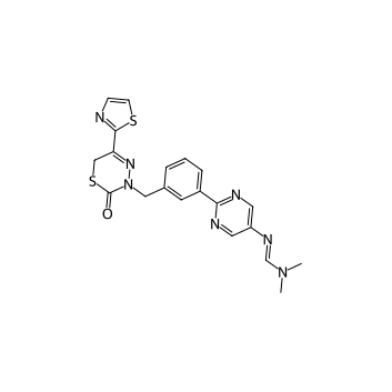 CN(C)C=Nc1cnc(-c2cccc(CN3N=C(c4nccs4)CSC3=O)c2)nc1